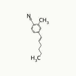 CCCCC=Cc1ccc(C#N)c(C)c1